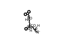 [N-]=[N+]=CC(=O)CC[C@H](NP(=O)(OCCCCNC(=O)OCC1c2ccccc2-c2ccccc21)Oc1ccccc1)C(=O)O